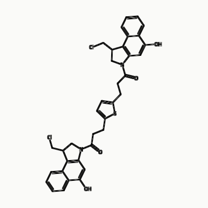 O=C(CCc1ccc(CCC(=O)N2CC(CCl)c3c2cc(O)c2ccccc32)s1)N1CC(CCl)c2c1cc(O)c1ccccc21